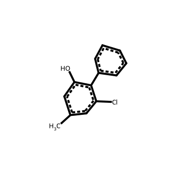 Cc1cc(O)c(-c2ccccc2)c(Cl)c1